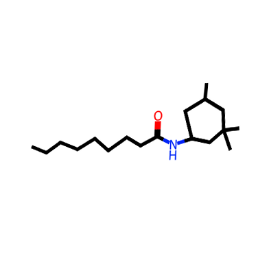 CCCCCCCCC(=O)NC1CC(C)CC(C)(C)C1